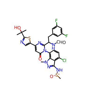 Cn1nc(N[S+](C)[O-])c2c(Cl)ccc(-n3c(C(Cc4cc(F)cc(F)c4)NC=O)nc(-c4cnc(C(C)(C)O)s4)cc3=O)c21